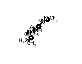 CCCc1ccc(N(C)C)cc1N1C(=O)CSC1=NC(=O)Nc1ccc(-c2ncn(-c3ccc(C(F)(F)F)cn3)n2)cc1C(C)=O